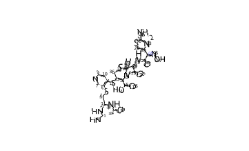 N=CNC(CSc1cnccc1SC1=C(C(=O)O)N2C(=O)[C@@H](NC(=O)/C(=N\O)c3csc(N)n3)[C@@H]2SC1)NC=O